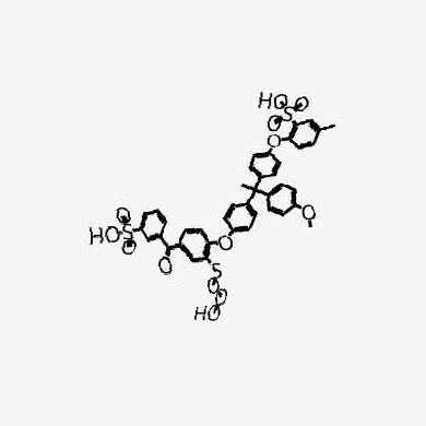 COc1ccc(C(C)(c2ccc(Oc3ccc(C(=O)c4cccc(S(=O)(=O)O)c4)cc3SOOO)cc2)c2ccc(Oc3ccc(C)cc3S(=O)(=O)O)cc2)cc1